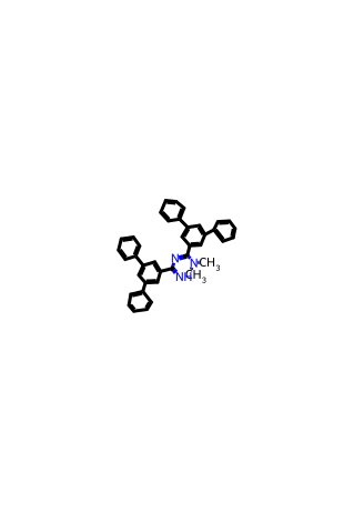 CN(C)/C(=N\C(=N)c1cc(-c2ccccc2)cc(-c2ccccc2)c1)c1cc(-c2ccccc2)cc(-c2ccccc2)c1